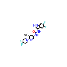 N#Cc1cc(NC(=O)Nc2c[nH]c3cc(F)c(F)cc23)cnc1N1CCC(F)(F)CC1